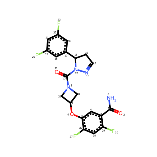 NC(=O)c1cc(OC2CN(C(=O)N3N=CCC3c3cc(F)cc(F)c3)C2)c(F)cc1F